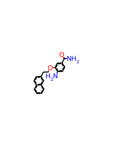 NC(=O)c1ccc(N)c(OCCc2ccc3ccccc3c2)c1